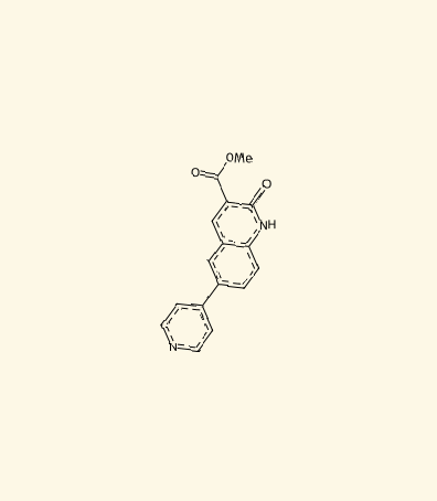 COC(=O)c1cc2cc(-c3ccncc3)ccc2[nH]c1=O